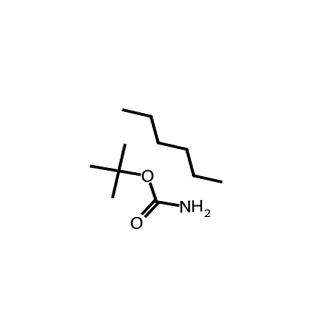 CC(C)(C)OC(N)=O.CCCCCC